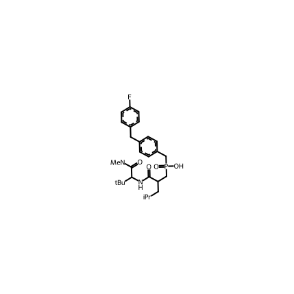 CNC(=O)C(NC(=O)C(CC(C)C)CP(=O)(O)Cc1ccc(Cc2ccc(F)cc2)cc1)C(C)(C)C